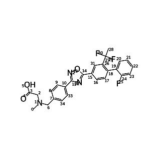 CN(CC(=O)O)Cc1ccc(-c2noc(-c3ccc(-c4ccccc4F)c(C(C)(F)F)c3)n2)cc1